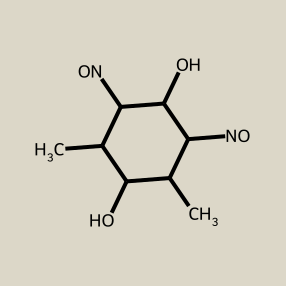 CC1C(O)C(C)C(N=O)C(O)C1N=O